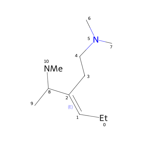 CC/C=C(\CCN(C)C)C(C)NC